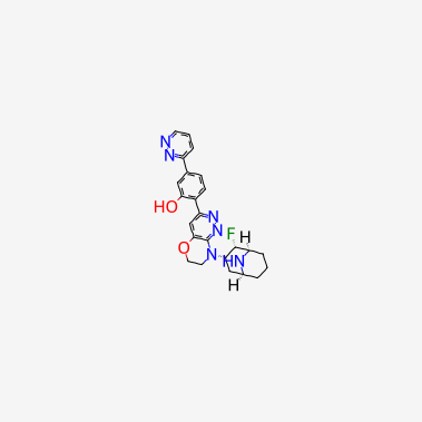 Oc1cc(-c2cccnn2)ccc1-c1cc2c(nn1)N([C@H]1C[C@@H]3CCC[C@@H](N3)[C@H]1F)CCO2